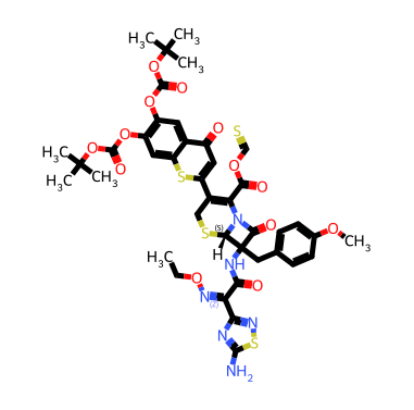 CCO/N=C(\C(=O)NC1(Cc2ccc(OC)cc2)C(=O)N2C(C(=O)OC=S)=C(c3cc(=O)c4cc(OC(=O)OC(C)(C)C)c(OC(=O)OC(C)(C)C)cc4s3)CS[C@H]21)c1nsc(N)n1